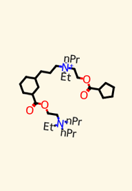 CCC[N+](CC)(CCC)CCOC(=O)C1CCCC(CCC[N+](CC)(CCC)CCOC(=O)C2CCCC2)C1